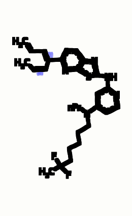 C=C/C=C(\C=C/C)c1ccc2nc(Nc3cc(N(CCC)CCCCCC(C)(F)F)ccn3)sc2n1